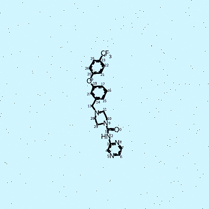 O=C(Nc1cnccn1)N1CCN(Cc2cccc(Oc3ccc(C(F)(F)F)cc3)c2)CC1